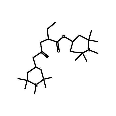 C=C(CC1CC(C)(C)N(C)C(C)(C)C1)CC(CC)C(=O)OC1CC(C)(C)N(C)C(C)(C)C1